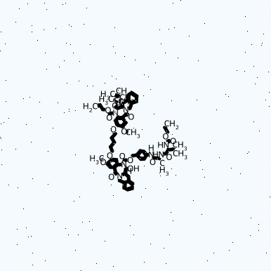 C=CCOC(=O)N[C@H](C(=O)N[C@@H](C)C(=O)Nc1ccc(COC(=O)N2c3cc(OCCCCCOc4cc5c(cc4OC)C(=O)N4Cc6ccccc6C[C@H]4C(O[Si](C)(C)C(C)(C)C)N5C(=O)OCC=C)c(OC)cc3C(=O)N3Cc4ccccc4C[C@H]3C2O)cc1)C(C)C